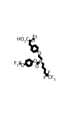 CCOC(Cc1ccc(OCCN(CCCCC(F)(F)C(F)(F)F)C(=O)Oc2ccc(OC(F)(F)F)cc2)cc1)C(=O)O